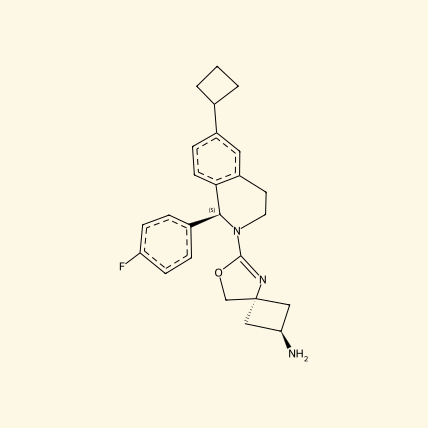 N[C@H]1C[C@@]2(COC(N3CCc4cc(C5CCC5)ccc4[C@@H]3c3ccc(F)cc3)=N2)C1